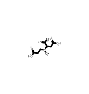 O=C(O)CCN(O)C(CC(=O)O)C(=O)O